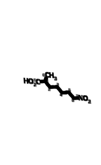 CC(CCCCC[N+](=O)[O-])C(=O)O